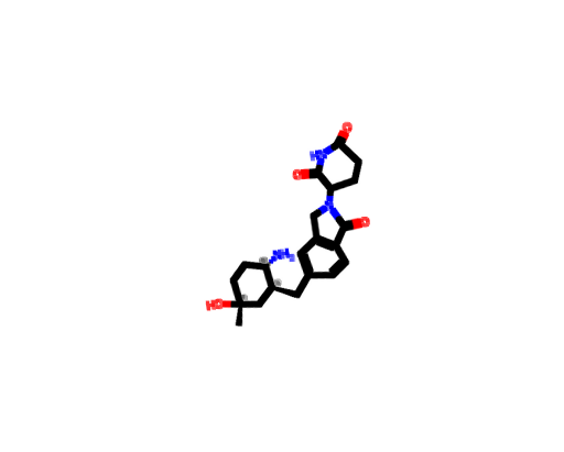 C[C@@]1(O)CC[C@H](N)[C@@H](Cc2ccc3c(c2)CN(C2CCC(=O)NC2=O)C3=O)C1